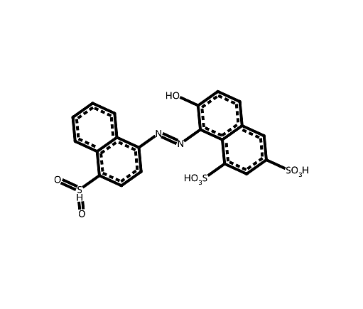 O=[SH](=O)c1ccc(/N=N/c2c(O)ccc3cc(S(=O)(=O)O)cc(S(=O)(=O)O)c23)c2ccccc12